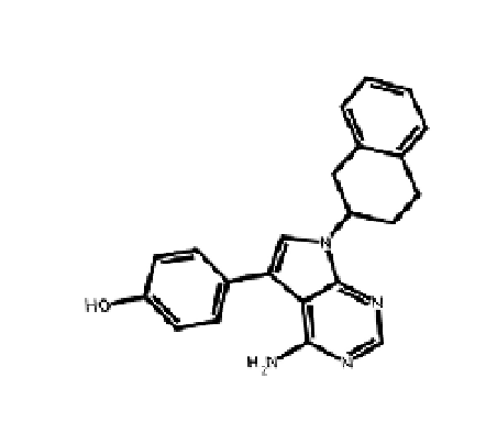 Nc1ncnc2c1c(-c1ccc(O)cc1)cn2C1CCc2ccccc2C1